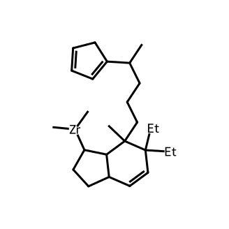 CCC1(CC)C=CC2CC[CH]([Zr]([CH3])[CH3])C2C1(C)CCCC(C)C1=CC=CC1